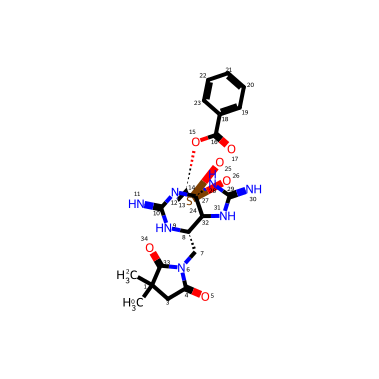 CC1(C)CC(=O)N(C[C@@H]2NC(=N)N3C[C@H](OC(=O)c4ccccc4)S(=O)(=O)[C@@]34NC(=N)NC24)C1=O